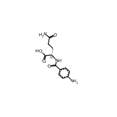 NC(=O)CC[C@H](NC(=O)c1ccc(N)cc1)C(=O)O